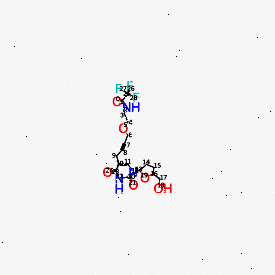 O=C(NCCOCC#CCc1cn([C@H]2CC[C@@H](CO)O2)c(=O)[nH]c1=O)C(F)(F)F